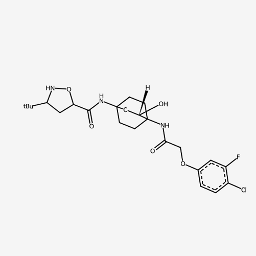 CC(C)(C)C1CC(C(=O)NC23CCC(NC(=O)COc4ccc(Cl)c(F)c4)(CC2)[C@@H](O)C3)ON1